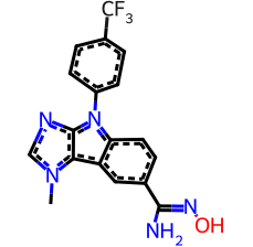 Cn1cnc2c1c1cc(C(N)=NO)ccc1n2-c1ccc(C(F)(F)F)cc1